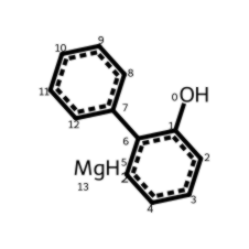 Oc1ccccc1-c1ccccc1.[MgH2]